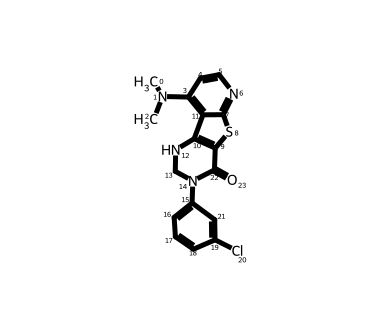 CN(C)c1ccnc2sc3c(c12)NCN(c1cccc(Cl)c1)C3=O